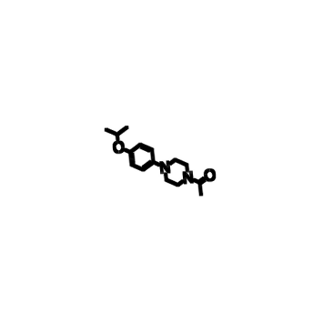 CC(=O)N1CCN(c2ccc(OC(C)C)cc2)CC1